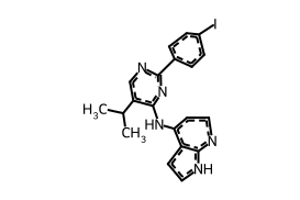 CC(C)c1cnc(-c2ccc(I)cc2)nc1Nc1ccnc2[nH]ccc12